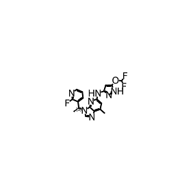 Cc1cc(Nc2cc(OC(F)F)[nH]n2)nc2c1ncn2[C@@H](C)c1cccnc1F